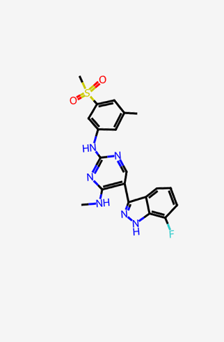 CNc1nc(Nc2cc(C)cc(S(C)(=O)=O)c2)ncc1-c1n[nH]c2c(F)cccc12